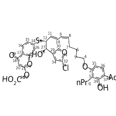 CCCc1c(OCCCC/C=C\C=C\[C@H](Sc2ccc3c(=O)cc(OC(=O)O)oc3c2)[C@H](O)c2coc(Cl)c2)ccc(C(C)=O)c1O